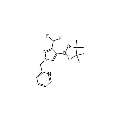 CC1(C)OB(c2cn(Cc3ccccn3)nc2C(F)F)OC1(C)C